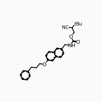 CC(C)(C)C(C#N)COC(=O)NCc1ccc2cc(OCCCc3ccccc3)ccc2c1